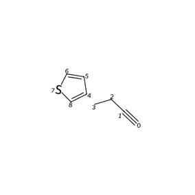 C#CCC.c1ccsc1